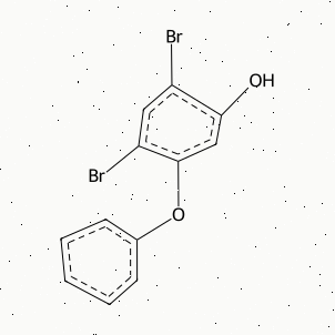 Oc1cc(Oc2ccccc2)c(Br)cc1Br